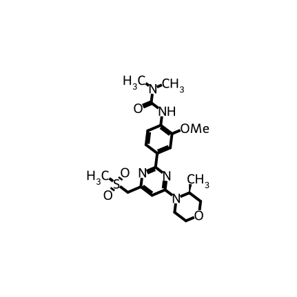 COc1cc(-c2nc(CS(C)(=O)=O)cc(N3CCOC[C@@H]3C)n2)ccc1NC(=O)N(C)C